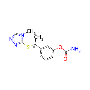 C[C@H](Sc1nncn1C)c1cccc(OC(N)=O)c1